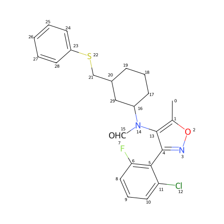 Cc1onc(-c2c(F)cccc2Cl)c1N(C=O)C1CCCC(CSc2ccccc2)C1